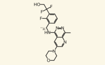 Cc1nnc(N[C@H](C)c2cccc(C(F)(F)CO)c2F)c2cc(N3CCOCC3)cnc12